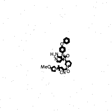 CO[C@@H]1CCN(C(C)(C)C=C(C#N)C(=O)N2CCC[C@@H](n3c(=O)n(-c4ccc(Oc5ccccc5)cc4)c4c(N)nccc43)C2)C1